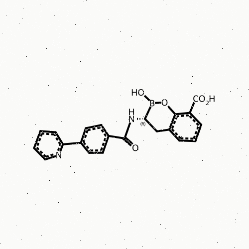 O=C(N[C@H]1Cc2cccc(C(=O)O)c2OB1O)c1ccc(-c2ccccn2)cc1